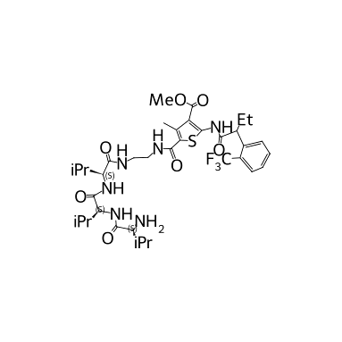 CCC(C(=O)Nc1sc(C(=O)NCCNC(=O)[C@@H](NC(=O)[C@@H](NC(=O)[C@@H](N)C(C)C)C(C)C)C(C)C)c(C)c1C(=O)OC)c1ccccc1C(F)(F)F